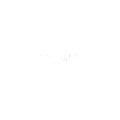 B.N.[GeH4].[TeH2]